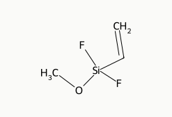 C=C[Si](F)(F)OC